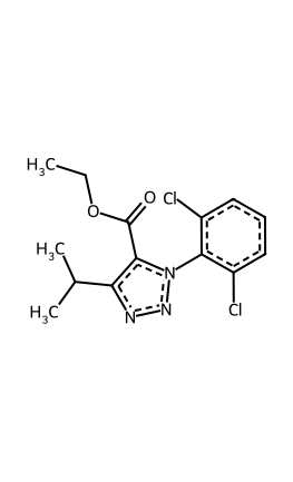 CCOC(=O)c1c(C(C)C)nnn1-c1c(Cl)cccc1Cl